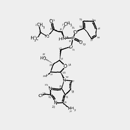 CC(C)OC(=O)[C@H](C)NP(=O)(OC[C@H]1O[C@@H](n2ccc3c(N)nc(Cl)nc32)[C@@H](F)[C@@H]1O)Oc1ccccc1